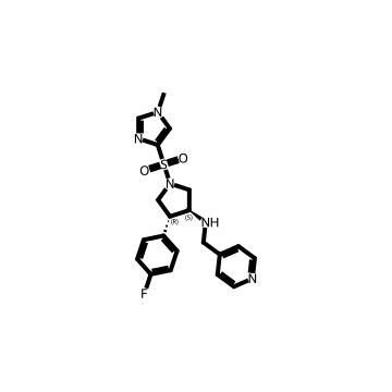 Cn1cnc(S(=O)(=O)N2C[C@@H](NCc3ccncc3)[C@H](c3ccc(F)cc3)C2)c1